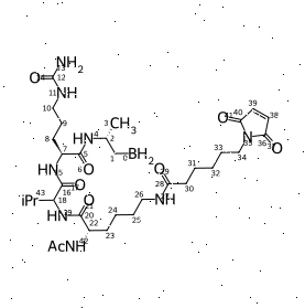 BC[C@@H](C)NC(=O)[C@H](CCCNC(N)=O)NC(=O)C(NC(=O)[C@H](CCCCNC(=O)CCCCCN1C(=O)C=CC1=O)NC(C)=O)C(C)C